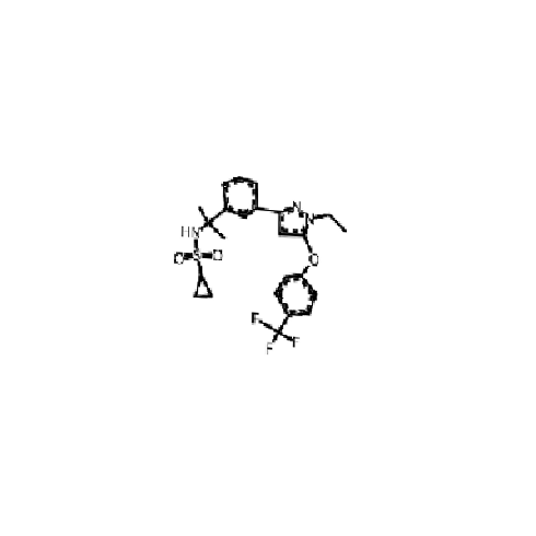 CCn1nc(-c2cccc(C(C)(C)NS(=O)(=O)C3CC3)c2)cc1Oc1ccc(C(F)(F)F)cc1